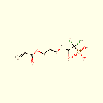 C=CC(=O)OCCCOC(=O)C(F)(F)S(=O)(=O)O